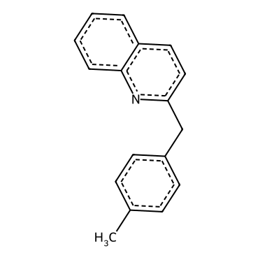 Cc1ccc(Cc2ccc3ccccc3n2)cc1